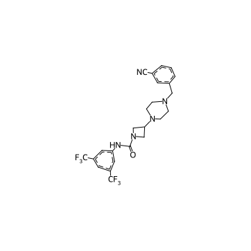 N#Cc1cccc(CN2CCN(C3CN(C(=O)Nc4cc(C(F)(F)F)cc(C(F)(F)F)c4)C3)CC2)c1